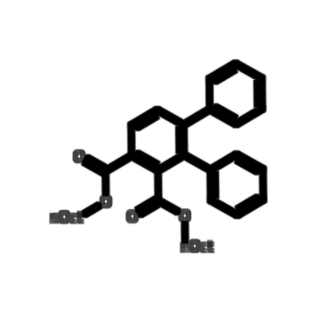 CCCCCCCCOC(=O)c1ccc(-c2ccccc2)c(-c2ccccc2)c1C(=O)OCCCCCCCC